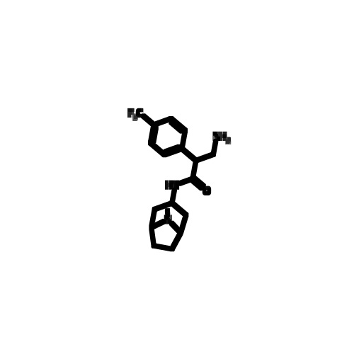 CN1C2CCC1CC(NC(=O)C(CN)c1ccc(C(F)(F)F)cc1)C2